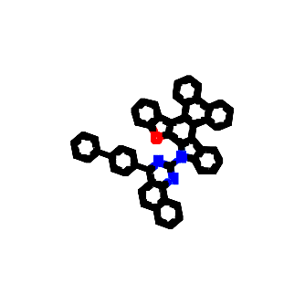 c1ccc(-c2ccc(-c3nc(-n4c5ccccc5c5c6c7ccccc7c7ccccc7c6c6c7ccccc7oc6c54)nc4c3ccc3ccccc34)cc2)cc1